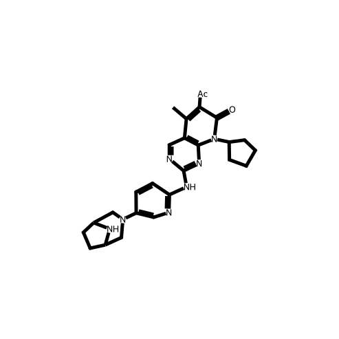 CC(=O)c1c(C)c2cnc(Nc3ccc(N4CC5CCC(C4)N5)cn3)nc2n(C2CCCC2)c1=O